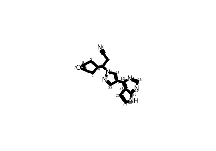 N#CCC(C1CC2OC2C1)n1cc(-c2ncnc3[nH]ccc23)cn1